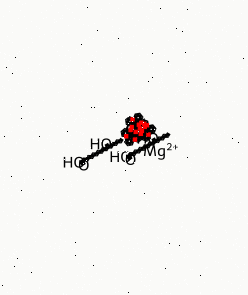 CCCCCCC(O)CCCCCCCCCCC(=O)O.CCCCCCC(O)CCCCCCCCCCC(=O)O.O=C(CC(CC(=O)[N+](C1CCCCC1)(C1CCCCC1)C1CCCCC1)C(=O)[N+](C1CCCCC1)(C1CCCCC1)C1CCCCC1)[N+](C1CCCCC1)(C1CCCCC1)C1CCCCC1.[Mg+2]